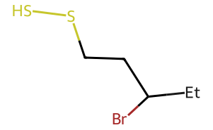 CCC(Br)CCSS